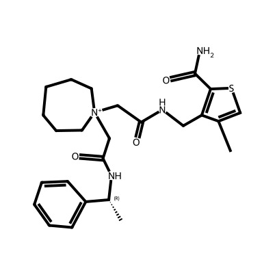 Cc1csc(C(N)=O)c1CNC(=O)C[N+]1(CC(=O)N[C@H](C)c2ccccc2)CCCCCC1